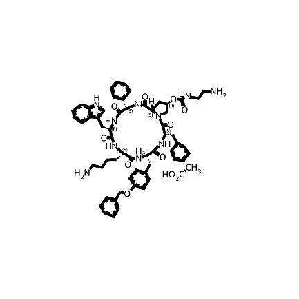 CC(=O)O.NCCCC[C@@H]1NC(=O)[C@@H](Cc2c[nH]c3ccccc23)NC(=O)[C@H](c2ccccc2)NC(=O)[C@@H]2C[C@@H](OC(=O)NCCN)CN2C(=O)[C@H](Cc2ccccc2)NC(=O)[C@H](Cc2ccc(OCc3ccccc3)cc2)NC1=O